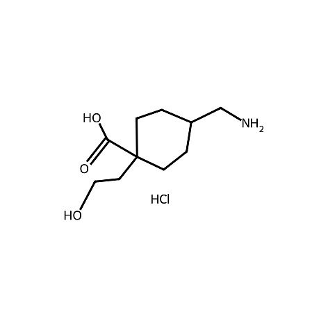 Cl.NCC1CCC(CCO)(C(=O)O)CC1